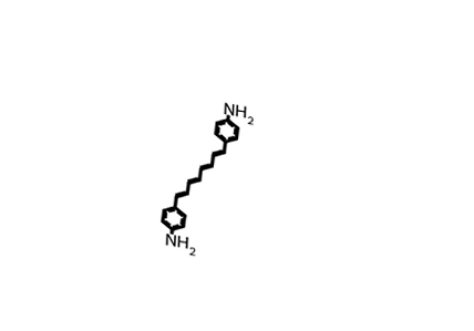 Nc1ccc(/C=C/C=C/C=C/C=C/c2ccc(N)cc2)cc1